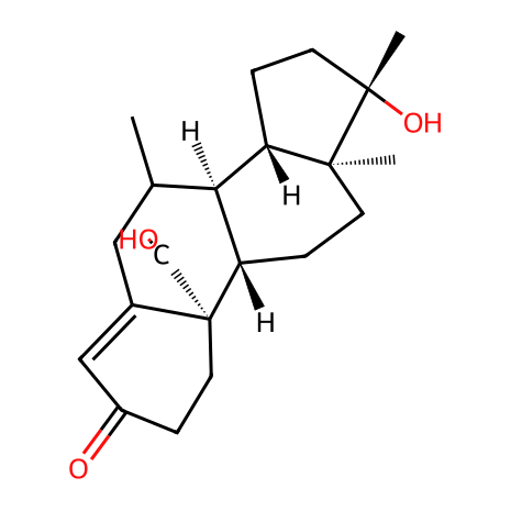 CC1CC2=CC(=O)CC[C@]2(CO)[C@H]2CC[C@@]3(C)[C@@H](CC[C@]3(C)O)[C@H]12